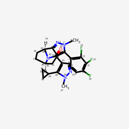 Cn1nc2c(c1-c1ccc(F)c(F)c1F)C[C@H]1CC[C@@H]2N1C(=O)c1cnn(C)c1C1CC1